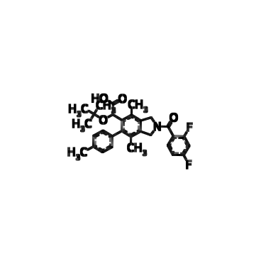 Cc1ccc(-c2c(C)c3c(c(C)c2C(OC(C)(C)C)C(=O)O)CN(C(=O)c2ccc(F)cc2F)C3)cc1